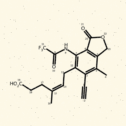 C#Cc1c(C)c2c(c(NC(=O)C(F)(F)F)c1CC=C(C)CCC(=O)O)C(=O)OC2